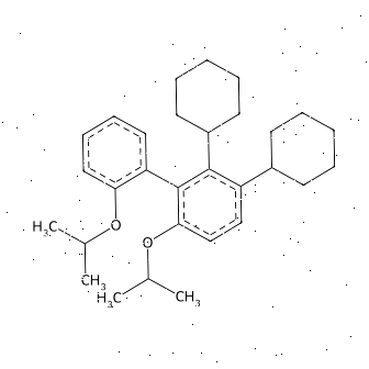 CC(C)Oc1ccccc1-c1c(OC(C)C)ccc(C2CCCCC2)c1C1CCCCC1